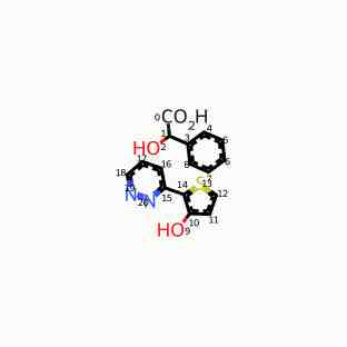 O=C(O)C(O)c1ccccc1.Oc1ccsc1-c1cccnn1